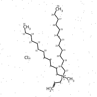 C=CC[N+](C)(CCCCCCCCCCCC)CCCCCCCCCCCCC.[Cl-]